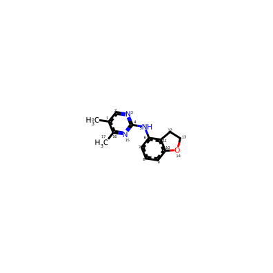 Cc1cnc(Nc2cccc3c2CCO3)nc1C